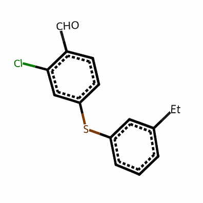 CCc1cccc(Sc2ccc(C=O)c(Cl)c2)c1